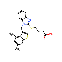 Cc1cc(C)c2c(Cn3c(SCCCC(=O)O)nc4ccccc43)csc2c1